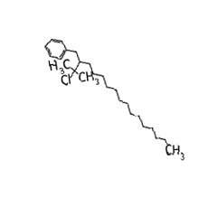 CCCCCCCCCCCCCCC(Cc1ccccc1)C(C)(C)Cl